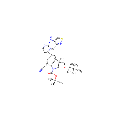 Cc1nscc1Nc1nccc(-c2cc(C#N)c3c(c2)[C@@](C)(CO[Si](C)(C)C(C)(C)C)CN3C(=O)OC(C)(C)C)n1